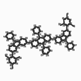 Cc1cc(C)c(-c2ccc3c(c2)c2cc(-c4ccc5c(-c6ccccc6)c6cc(-c7ccc8c(c7)c7cc(-c9c(C)cc(C)cc9C)ccc7n8-c7ccccc7)ccc6c(-c6ccccc6)c5c4)ccc2n3-c2ccccc2)c(C)c1